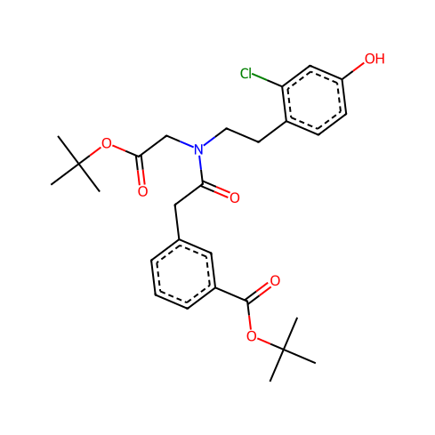 CC(C)(C)OC(=O)CN(CCc1ccc(O)cc1Cl)C(=O)Cc1cccc(C(=O)OC(C)(C)C)c1